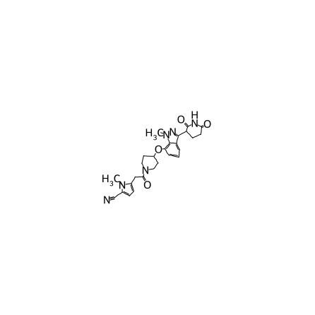 Cn1c(C#N)ccc1CC(=O)N1CCC(Oc2cccc3c(C4CCC(=O)NC4=O)nn(C)c23)CC1